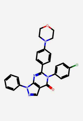 O=c1c2cnn(-c3ccccc3)c2nc(-c2ccc(N3CCOCC3)cc2)n1-c1ccc(Cl)cc1